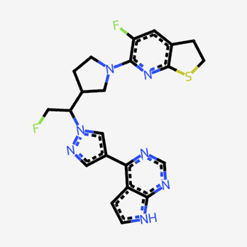 FCC(C1CCN(c2nc3c(cc2F)CCS3)C1)n1cc(-c2ncnc3[nH]ccc23)cn1